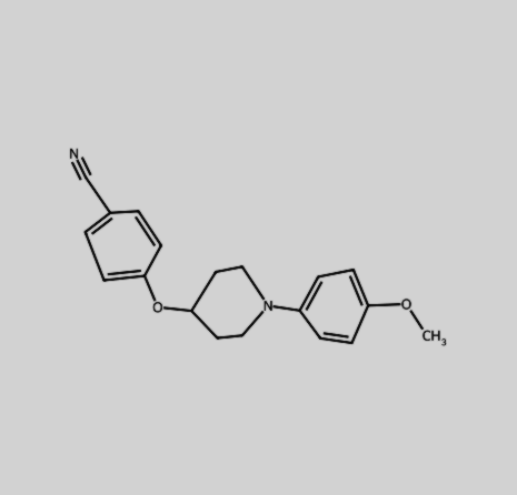 COc1ccc(N2CCC(Oc3ccc(C#N)cc3)CC2)cc1